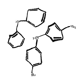 CC(C)(C)c1ccc(Nc2ccc(C(C)(C)C)cc2)cc1.c1ccc(Nc2ccccc2)cc1